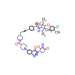 CC1(C)C(NC(=O)c2ccc(C#CCC3CCN(C(=O)C4CCN(c5ccc6nnn(C7CCC(=O)NC7=O)c(=O)c6c5)CC4)CC3)cc2)C(C)(C)C1Oc1ccc(C#N)c(Cl)c1